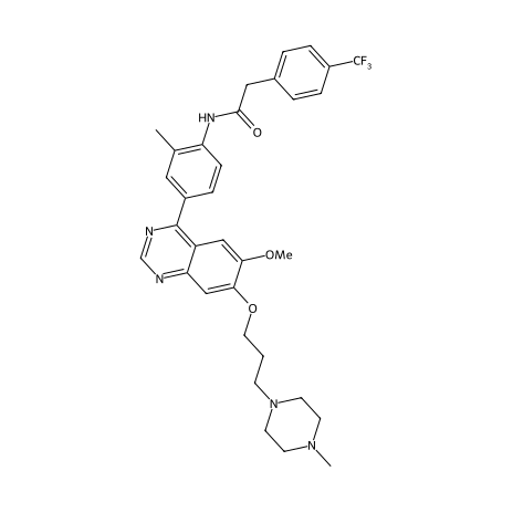 COc1cc2c(-c3ccc(NC(=O)Cc4ccc(C(F)(F)F)cc4)c(C)c3)ncnc2cc1OCCCN1CCN(C)CC1